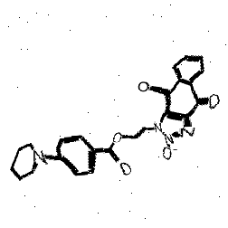 O=C(OCCn1c2c(n[n+]1[O-])C(=O)c1ccccc1C2=O)c1ccc(N2CCCCC2)cc1